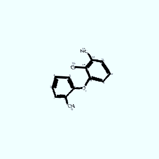 N#Cc1ccccc1Oc1cccc(C#N)c1Cl